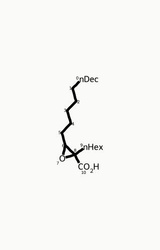 CCCCCCCCCCCCCCCC1OC1(CCCCCC)C(=O)O